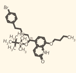 CCCCOc1ccc([C@H](CNCCc2ccc(Br)cc2)O[Si](C)(C)C(C)(C)C)c2ccc(=O)[nH]c12